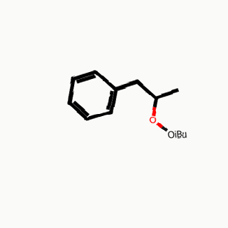 CC(C)COOC(C)Cc1ccccc1